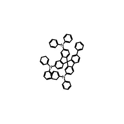 C1=CCCC(N(c2ccccc2)c2ccc3c(c2)C2(c4ccc(N(C5=CCCC=C5)c5ccccc5)cc4-c4cc(N(c5ccccc5)c5ccccc5)ccc42)c2cc(-c4ccccc4)ccc2-3)=C1